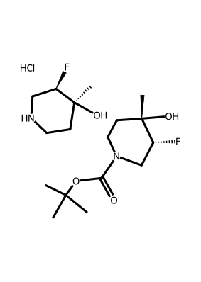 CC(C)(C)OC(=O)N1CC[C@](C)(O)[C@H](F)C1.C[C@]1(O)CCNC[C@H]1F.Cl